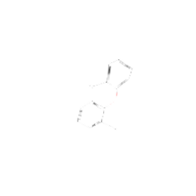 O=[N+]([O-])c1ccccc1Oc1ccccc1[N+](=O)[O-]